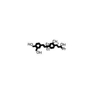 CCC(C=Cc1ccc(CO)c(CO)c1)(CC)c1ccc(CCC(O)C(C)C)c(C)c1